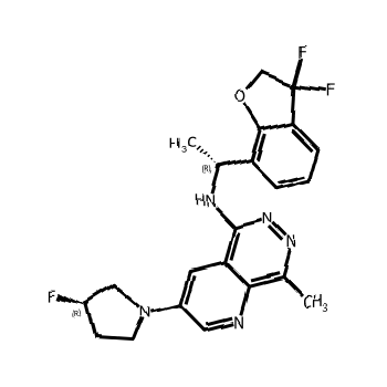 Cc1nnc(N[C@H](C)c2cccc3c2OCC3(F)F)c2cc(N3CC[C@@H](F)C3)cnc12